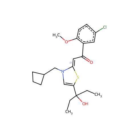 CCC(O)(CC)C1=CN(CC2CCC2)/C(=C/C(=O)c2cc(Cl)ccc2OC)S1